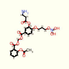 CC(=O)Oc1ccccc1C(=O)OCOC(=O)c1ccc(OCCCON(O)O)c(OC(=O)CCN)c1